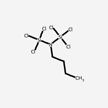 CCCCN([Si](Cl)(Cl)Cl)[Si](Cl)(Cl)Cl